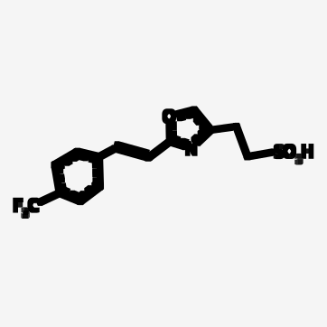 O=S(=O)(O)CCc1coc(C=Cc2ccc(C(F)(F)F)cc2)n1